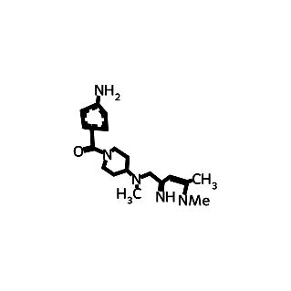 CN/C(C)=C\C(=N)CN(C)C1CCN(C(=O)c2ccc(N)cc2)CC1